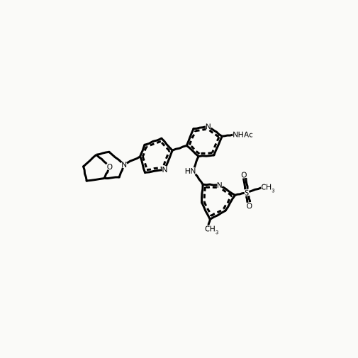 CC(=O)Nc1cc(Nc2cc(C)cc(S(C)(=O)=O)n2)c(-c2ccc(N3CC4CCC(C3)O4)cn2)cn1